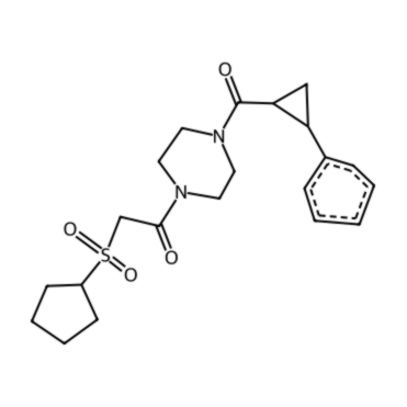 O=C(CS(=O)(=O)C1CCCC1)N1CCN(C(=O)C2CC2c2ccccc2)CC1